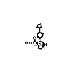 COC(=O)[C@H]1[C@@H](c2ccc(-c3ccsc3)cc2)C[C@@H]2CC[C@H]1N2C